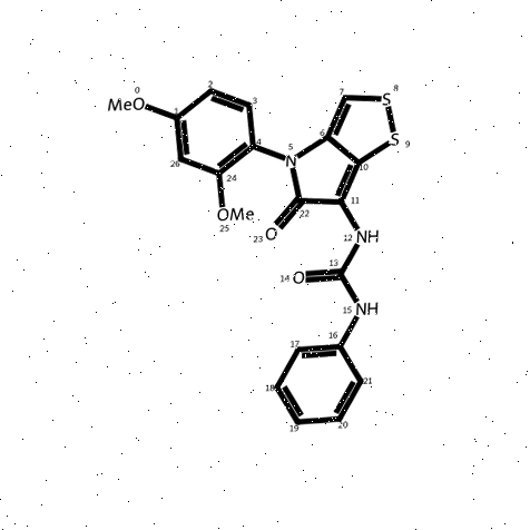 COc1ccc(-n2c3cssc-3c(NC(=O)Nc3ccccc3)c2=O)c(OC)c1